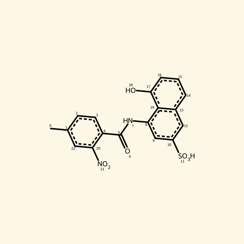 Cc1ccc(C(=O)Nc2cc(S(=O)(=O)O)cc3cccc(O)c23)c([N+](=O)[O-])c1